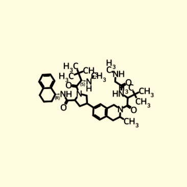 CNCC(=O)NC(C(=O)N1Cc2cc(C3CC(C(=O)N[C@@H]4CCCc5ccccc54)N(C(=O)[C@@H](NC)C(C)(C)C)C3)ccc2CC1C)C(C)(C)C